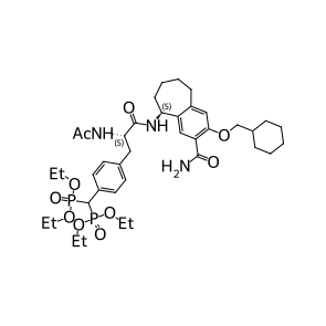 CCOP(=O)(OCC)C(c1ccc(C[C@H](NC(C)=O)C(=O)N[C@H]2CCCCc3cc(OCC4CCCCC4)c(C(N)=O)cc32)cc1)P(=O)(OCC)OCC